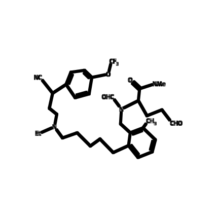 CCN(CCCCCc1cccc(C)c1CN(C=O)C(CCC=O)C(=O)NC)CCC(C#N)c1ccc(OC(F)(F)F)cc1